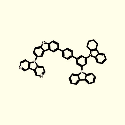 c1ccc2c(c1)c1c(n2-c2cc(-c3ccc(-c4ccc5oc6ccc(-n7c8ccncc8c8cnccc87)cc6c5c4)cc3)cc(-n3c4ccccc4c4ccccc43)c2)CCCC1